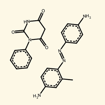 Cc1cc(N)ccc1/N=N/c1ccc(N)cc1.O=C1CC(=O)N(c2ccccc2)C(=O)N1